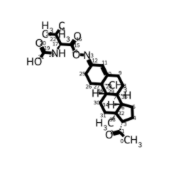 CC(=O)[C@H]1CC[C@H]2[C@@H]3CCC4=C/C(=N/OC(=O)[C@@H](NC(=O)O)C(C)C)CC[C@]4(C)[C@H]3CC[C@]12C